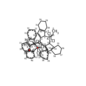 C[CH]=[Zr]([Cl])([Cl])([CH]1C(O[Si](c2ccccc2)(c2ccccc2)C(C)(C)C)=CC2=C1CCCC2)[CH]1C(O[Si](c2ccccc2)(c2ccccc2)C(C)(C)C)=CC2=C1CCCC2